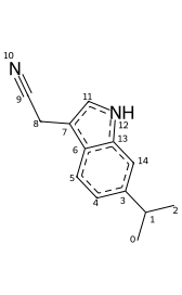 CC(C)c1ccc2c(CC#N)c[nH]c2c1